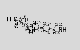 C[S+]([O-])c1cccc(-c2cnn3cc(-c4ccc(C5CCNCC5)cc4)cnc23)c1